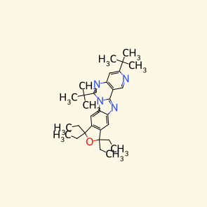 CCC1(CC)OC(CC)(CC)c2cc3c(cc21)nc1c2cnc(C(C)(C)C)cc2nc(C(C)(C)C)n31